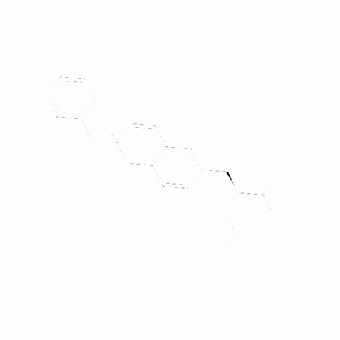 CCO[C@@H](Cc1ccc2c(c1)C=C[C@@H](Cc1ccccc1)O2)C(=O)O